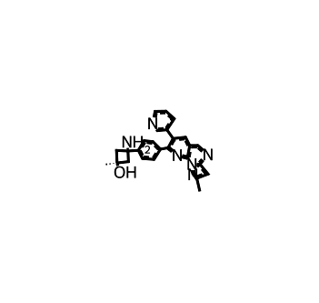 Cc1cc2ncc3cc(-c4cccnc4)c(-c4ccc([C@]5(N)C[C@@](C)(O)C5)cc4)nc3n2n1